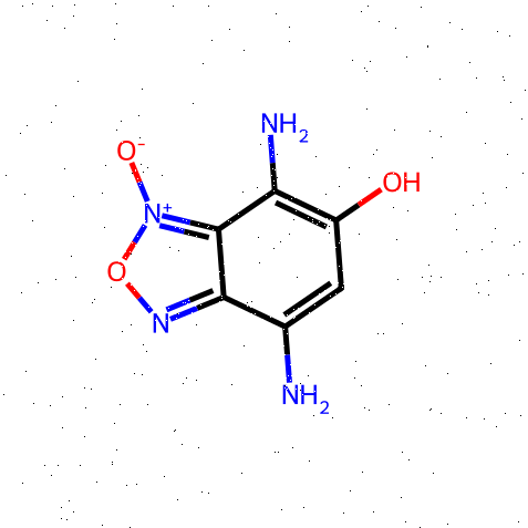 Nc1cc(O)c(N)c2c1no[n+]2[O-]